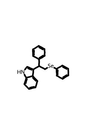 c1ccc([Se]CC(c2ccccc2)c2c[nH]c3ccccc23)cc1